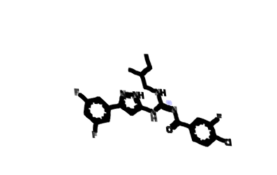 CCC(C)CN/C(=N/C(=O)c1ccc(Cl)c(F)c1)Nc1cc(-c2cc(F)cc(F)c2)n[nH]1